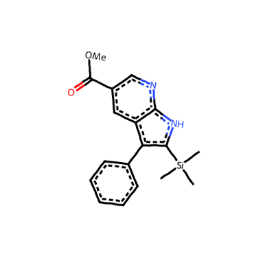 COC(=O)c1cnc2[nH]c([Si](C)(C)C)c(-c3ccccc3)c2c1